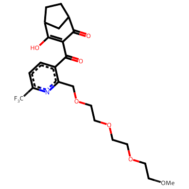 COCCOCCOCCOCc1nc(C(F)(F)F)ccc1C(=O)C1=C(O)C2CCC(C2)C1=O